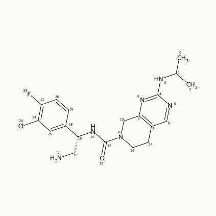 CC(C)Nc1ncc2c(n1)CN(C(=O)N[C@H](CN)c1ccc(F)c(Cl)c1)CC2